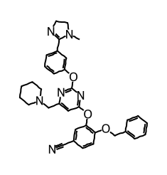 CN1CCN=C1c1cccc(Oc2nc(CN3CCCCC3)cc(Oc3cc(C#N)ccc3OCc3ccccc3)n2)c1